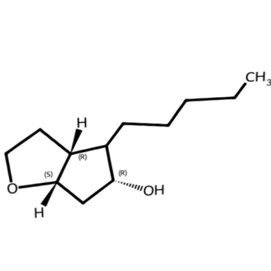 CCCCCC1[C@H](O)C[C@@H]2OCC[C@H]12